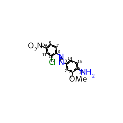 COc1cc(N=Nc2ccc([N+](=O)[O-])cc2Cl)ccc1N